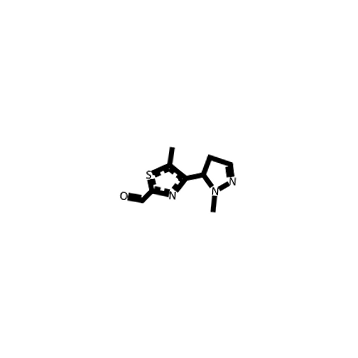 Cc1sc(C=O)nc1C1CC=NN1C